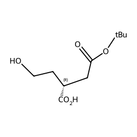 CC(C)(C)OC(=O)C[C@@H](CCO)C(=O)O